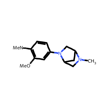 CNc1ccc(N2CC3CC2CN3C)cc1OC